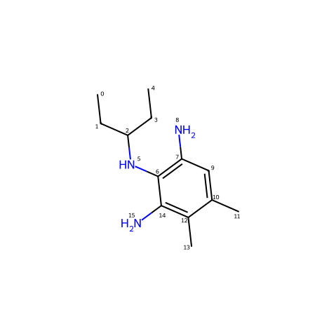 CCC(CC)Nc1c(N)cc(C)c(C)c1N